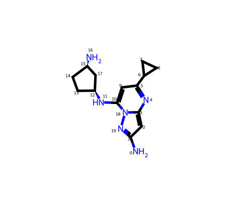 Nc1cc2nc(C3CC3)cc(N[C@H]3CC[C@H](N)C3)n2n1